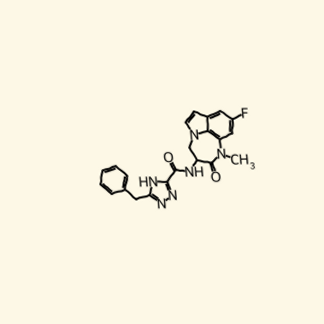 CN1C(=O)C(NC(=O)c2nnc(Cc3ccccc3)[nH]2)Cn2ccc3cc(F)cc1c32